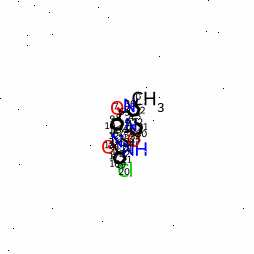 Cc1cccc(C(=O)c2ccc(CN3C(=O)c4ccc(Cl)cc4NC(=O)[C@H]3Cc3ccccn3)cc2)n1